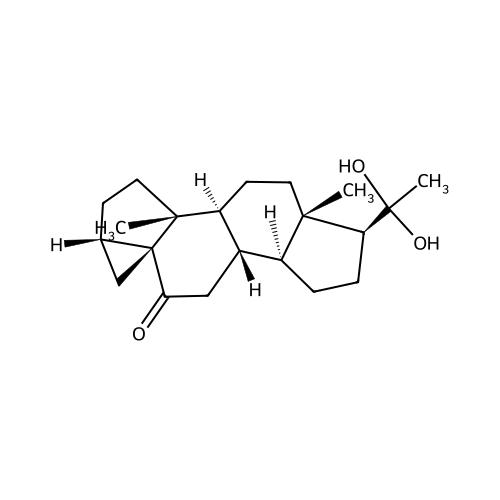 CC(O)(O)[C@H]1CC[C@H]2[C@@H]3CC(=O)[C@]45C[C@@H]4CC[C@]5(C)[C@H]3CC[C@]12C